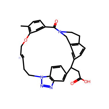 Cc1ccc2cc1OC/C=C/CCn1nnc3cc(ccc31)C(CC(=O)O)c1ccc3c(c1)CN(CC3)C2=O